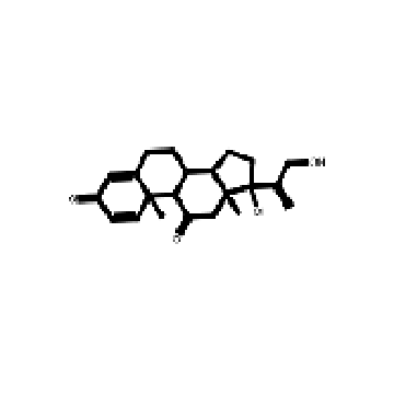 C=C(CO)C1(O)CCC2C3CCC4=CC(=O)C=CC4(C)C3C(=O)CC21C